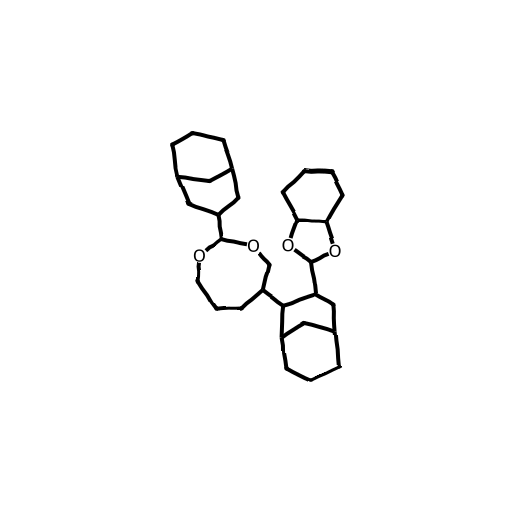 C1CC2CC(C1)CC(C1OCCCC(C3C4CCCC(C4)CC3C3OC4CCCCC4O3)CO1)C2